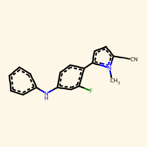 Cn1c(C#N)ccc1-c1ccc(Nc2ccccc2)cc1F